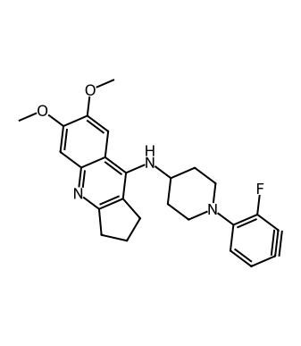 COc1cc2nc3c(c(NC4CCN(c5ccc#cc5F)CC4)c2cc1OC)CCC3